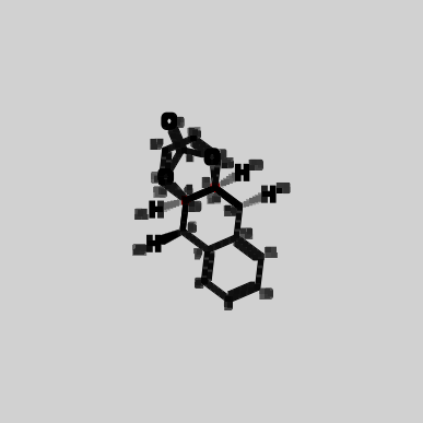 O=C1O[C@@H]2[C@H](O1)[C@H]1c3ccccc3[C@H]2C2C=CC=CC21